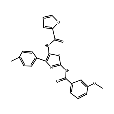 COc1cccc(C(=O)Nc2nc(-c3ccc(C)cc3)c(NC(=O)c3ccco3)s2)c1